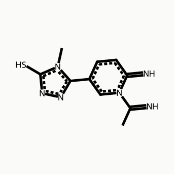 CC(=N)n1cc(-c2nnc(S)n2C)ccc1=N